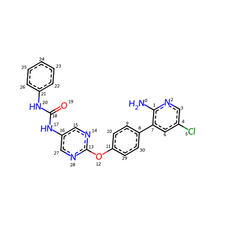 Nc1ncc(Cl)cc1-c1ccc(Oc2ncc(NC(=O)Nc3ccccc3)cn2)cc1